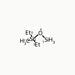 CC[Si](C)(CC)O[SiH3]